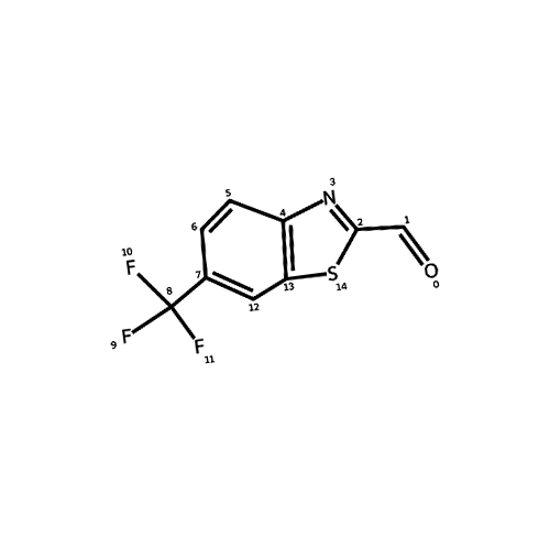 O=Cc1nc2ccc(C(F)(F)F)cc2s1